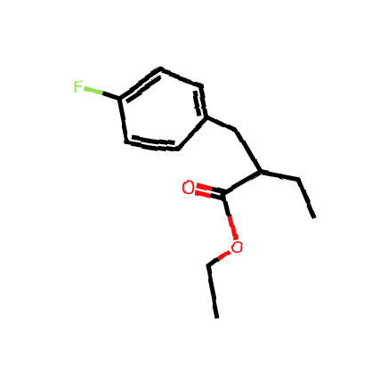 CCOC(=O)C(CC)Cc1ccc(F)cc1